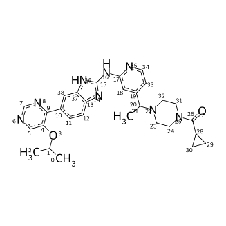 CC(C)Oc1cncnc1-c1ccc2nc(Nc3cc(C(C)N4CCN(C(=O)C5CC5)CC4)ccn3)[nH]c2c1